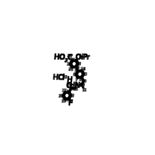 CC(C)Oc1cc(-c2ccc(C[C@@H](C)NC[C@H](O)c3cccc(F)c3)cc2)ccc1C(=O)O.Cl